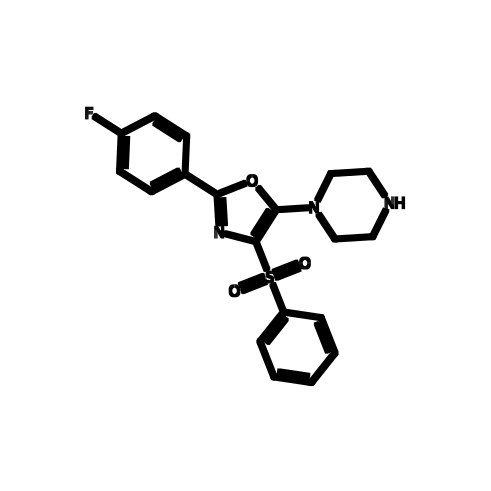 O=S(=O)(c1ccccc1)c1nc(-c2ccc(F)cc2)oc1N1CCNCC1